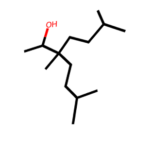 CC(C)CCC(C)(CCC(C)C)C(C)O